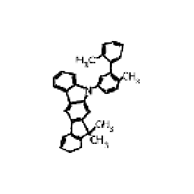 Cc1ccccc1-c1cc(-n2c3ccccc3c3cc4c(cc32)C(C)(C)C2=C4C=CCC2)ccc1C